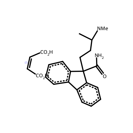 CNC(C)CCC1(C(N)=O)c2ccccc2-c2ccccc21.O=C(O)/C=C\C(=O)O